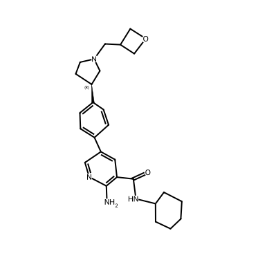 Nc1ncc(-c2ccc([C@H]3CCN(CC4COC4)C3)cc2)cc1C(=O)NC1CCCCC1